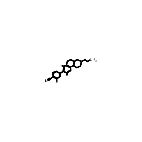 CCCC1CCC2c3cc(F)c(-c4ccc(C#N)c(F)c4)c(F)c3CCC2C1